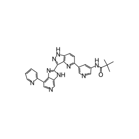 CC(C)(C)C(=O)Nc1cncc(-c2ccc3[nH]nc(-c4nc5c(-c6ccccn6)cncc5[nH]4)c3n2)c1